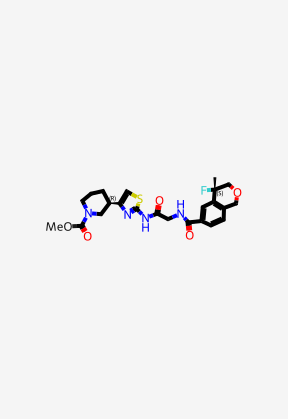 COC(=O)N1CCC[C@@H](c2csc(NC(=O)CNC(=O)c3ccc4c(c3)[C@](C)(F)COC4)n2)C1